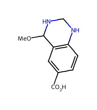 COC1NCNc2ccc(C(=O)O)cc21